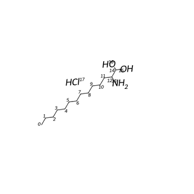 CCCCCCCCCCCCC(N)C(O)O.Cl